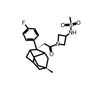 CS(=O)(=O)NC1CN(C(=O)C[C@]2(c3ccc(F)cc3)C3CC4CC2C[C@@](C)(C4)C3)C1